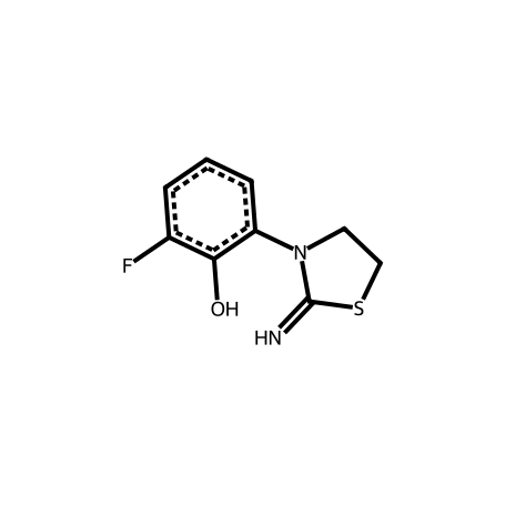 N=C1SCCN1c1cccc(F)c1O